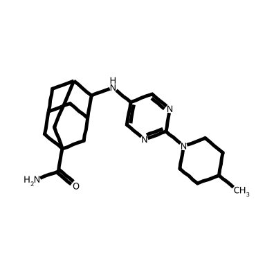 CC1CCN(c2ncc(NC3C4CC5CC3CC(C(N)=O)(C5)C4)cn2)CC1